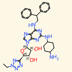 CCn1nnc([C@H]2O[C@@H](n3cnc4c(NCC(c5ccccc5)c5ccccc5)nc(NC5CCC(N)CC5)nc43)[C@H](O)[C@@H]2O)n1